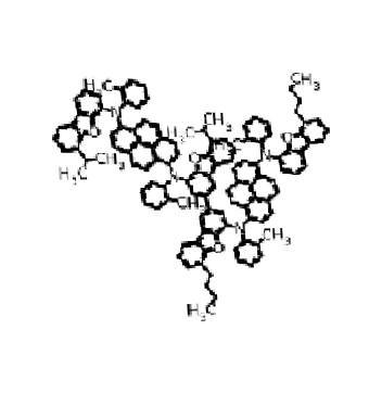 CCCCc1cccc2c1oc1c(N(c3ccccc3C)c3ccc4ccc5c(N(c6ccccc6C)c6cc(-c7cc(N(c8ccccc8C)c8ccc9ccc%10c(N(c%11ccccc%11C)c%11cccc%12c%11oc%11c(C(C)C)cccc%11%12)ccc%11ccc8c9c%11%10)c8oc9c(C(C)C)cccc9c8c7)cc7c6oc6c(CCCC)cccc67)ccc6ccc3c4c65)cccc12